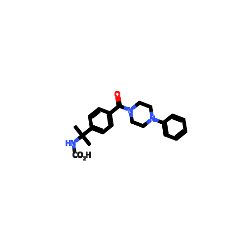 CC(C)(NC(=O)O)c1ccc(C(=O)N2CCN(c3ccccc3)CC2)cc1